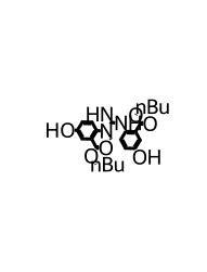 CCCCOC(=O)c1cc(O)ccc1NC(=N)N(C)c1ccc(O)cc1C(=O)OCCCC